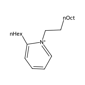 CCCCCCCCCC[n+]1ccccc1CCCCCC